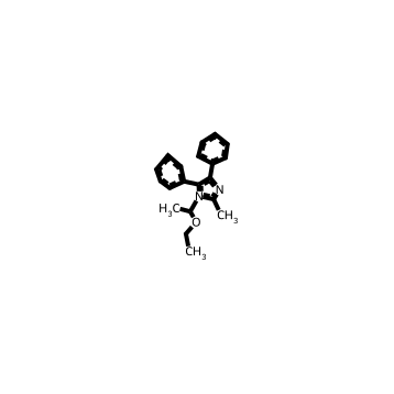 CCOC(C)n1c(C)nc(-c2ccccc2)c1-c1ccccc1